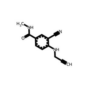 C#CCNc1ccc(C(=O)NC)cc1C#N